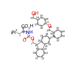 CC(C)C[C@H](NC(=O)OCC1c2ccccc2-c2ccccc21)C(=O)O.OCc1ccc(OCc2ccccc2)cc1